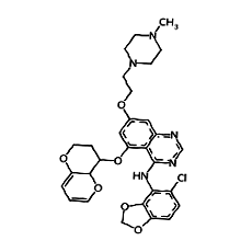 CN1CCN(CCOc2cc(OC3CCOC4=CC=COC43)c3c(Nc4c(Cl)ccc5c4OCO5)ncnc3c2)CC1